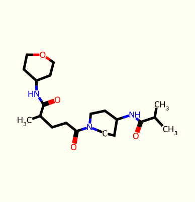 CC(C)C(=O)NC1CCN(C(=O)CCC(C)C(=O)NC2CCOCC2)CC1